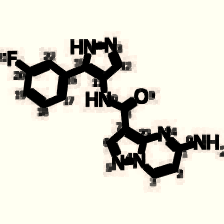 Nc1ccn2ncc(C(=O)Nc3cn[nH]c3-c3cccc(F)c3)c2n1